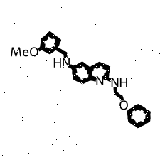 COc1cccc(CNc2ccc3nc(NCCOc4ccccc4)ccc3c2)c1